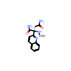 NC(=O)C[C@@](NC=O)(C(N)=O)c1ccc2ccccc2n1